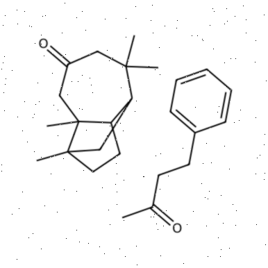 CC(=O)CCc1ccccc1.CC1(C)CC(=O)CC2(C)C3CCC2(C)CC31